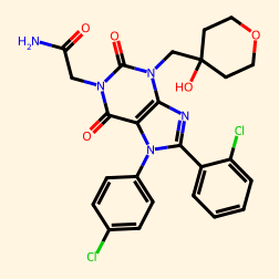 NC(=O)Cn1c(=O)c2c(nc(-c3ccccc3Cl)n2-c2ccc(Cl)cc2)n(CC2(O)CCOCC2)c1=O